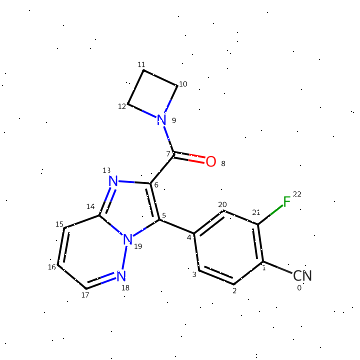 N#Cc1ccc(-c2c(C(=O)N3CCC3)nc3cccnn23)cc1F